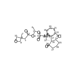 CC(OC(=O)CC1(C)COC1)OC(=O)NC[C@]1(c2ccccc2Cl)CCCCC1=O